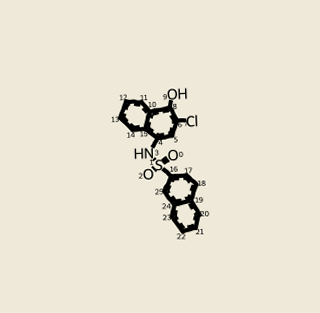 O=S(=O)(Nc1cc(Cl)c(O)c2ccccc12)c1ccc2ccccc2c1